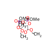 C=COC(=O)C(OP(C)(=O)OC)C(OP(C)(=O)OC)C(=O)OC=C